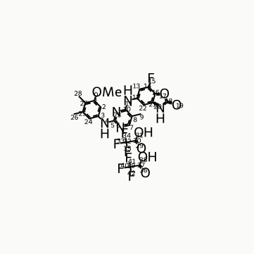 COc1cc(Nc2ncc(C)c(Nc3cc(F)c4oc(=O)[nH]c4c3)n2)cc(C)c1C.O=C(O)C(F)(F)F.O=C(O)C(F)(F)F